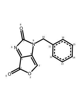 O=C1OC=C2C1=NC(=O)N2Cc1ccccc1